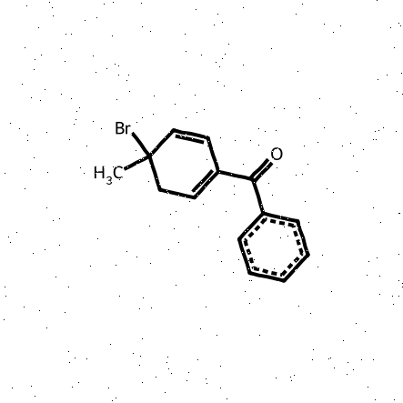 CC1(Br)C=CC(C(=O)c2ccccc2)=CC1